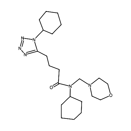 O=C(CCCc1nnnn1C1CCCCC1)N(CN1CCOCC1)C1CCCCC1